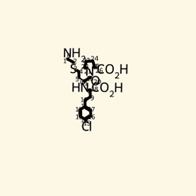 NCCSCC[C@H](NC(CCc1ccc(Cl)cc1)C(=O)O)C(=O)N1CCC[C@H]1C(=O)O